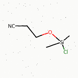 C[Si](C)(Cl)OCCC#N